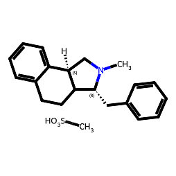 CN1C[C@@H]2c3ccccc3CCC2[C@H]1Cc1ccccc1.CS(=O)(=O)O